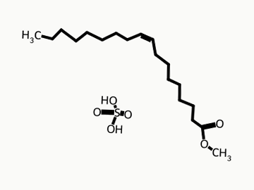 CCCCCCCC/C=C\CCCCCCCC(=O)OC.O=S(=O)(O)O